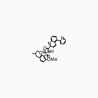 COc1ccc2c(c1S(=O)(=O)NC(=O)c1ccc3c(-c4ccccn4)cccc3n1)OCC(C)C2